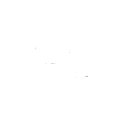 CC=C(O)CF